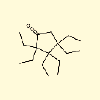 CCC1(CC)CC(=O)C(CC)(CC)C1(CC)CC